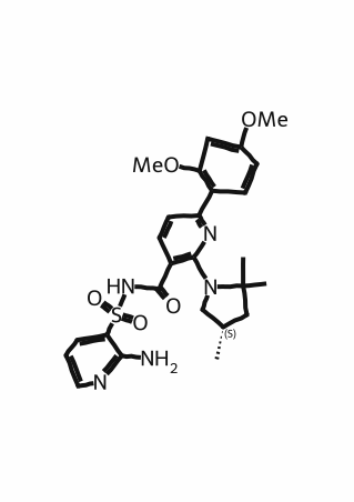 COc1ccc(-c2ccc(C(=O)NS(=O)(=O)c3cccnc3N)c(N3C[C@@H](C)CC3(C)C)n2)c(OC)c1